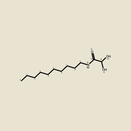 CCCCCCCCCCNC(=O)C(O)O